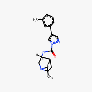 Cc1cccc(-c2cnn(C(=O)N[C@H]3CN4CCC3CC4C)c2)c1